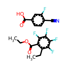 CCOC(=O)c1c(F)c(F)c(F)c(F)c1CC.N#Cc1ccc(C(=O)O)cc1F